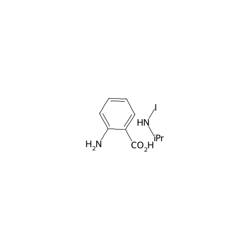 CC(C)NI.Nc1ccccc1C(=O)O